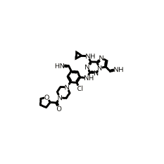 N=Cc1cc(Nc2nc(NC3CC3)c3ncc(C=N)n3n2)c(Cl)c(N2CCN(C(=O)C3CCCO3)CC2)c1